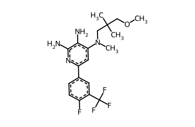 COCC(C)(C)CN(C)c1cc(-c2ccc(F)c(C(F)(F)F)c2)nc(N)c1N